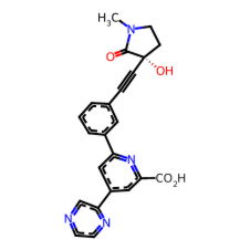 CN1CC[C@@](O)(C#Cc2cccc(-c3cc(-c4cnccn4)cc(C(=O)O)n3)c2)C1=O